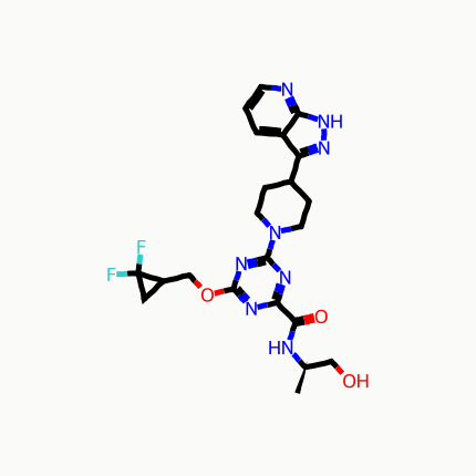 C[C@H](CO)NC(=O)c1nc(OCC2CC2(F)F)nc(N2CCC(c3n[nH]c4ncccc34)CC2)n1